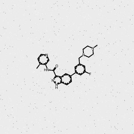 Cc1ccncc1NC(=O)c1n[nH]c2ccc(-c3cc(F)cc(CN4CCN(C)CC4)c3)cc12